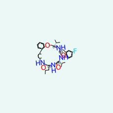 CCC[C@@H]1NC(=O)[C@@H](C(C)C)NC(=O)[C@@H](Cc2cccc(F)c2)N[C@@H](C(C)C)COc2ccccc2CCCNC1=O